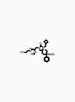 CN[C@]1(c2ccccc2)CC[C@]2(CC1)CN(C/C(=C/NCCO)N=N)C(=O)N2CC1CCC1